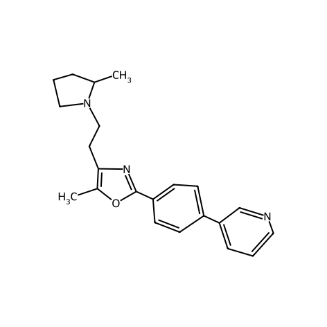 Cc1oc(-c2ccc(-c3cccnc3)cc2)nc1CCN1CCCC1C